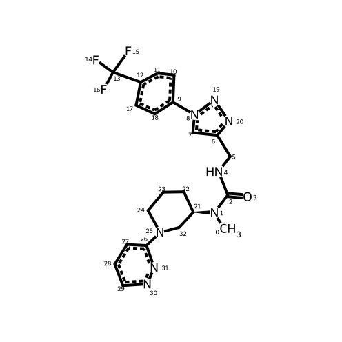 CN(C(=O)NCc1cn(-c2ccc(C(F)(F)F)cc2)nn1)[C@@H]1CCCN(c2cccnn2)C1